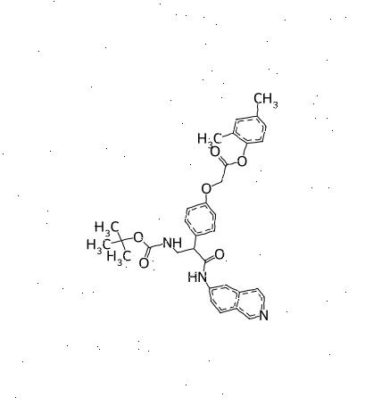 Cc1ccc(OC(=O)COc2ccc(C(CNC(=O)OC(C)(C)C)C(=O)Nc3ccc4cnccc4c3)cc2)c(C)c1